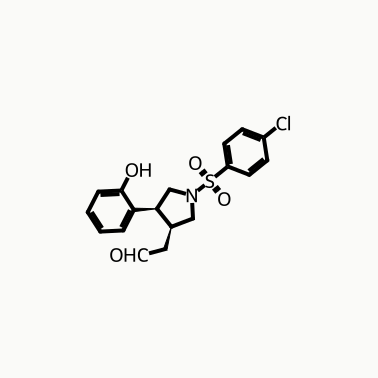 O=CC[C@@H]1CN(S(=O)(=O)c2ccc(Cl)cc2)C[C@@H]1c1ccccc1O